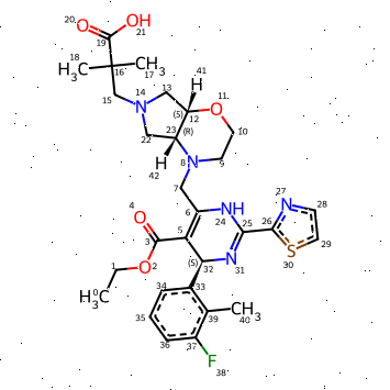 CCOC(=O)C1=C(CN2CCO[C@H]3CN(CC(C)(C)C(=O)O)C[C@H]32)NC(c2nccs2)=N[C@H]1c1cccc(F)c1C